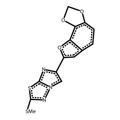 CSc1nn2cc(-c3cc4ccc5c(c4o3)OCO5)nc2s1